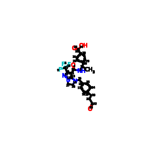 CC(NC(=O)c1c(C(F)(F)F)nn2c1N(Cc1ccc(CCC=O)cc1)CC2)c1ccc(C(=O)O)cc1